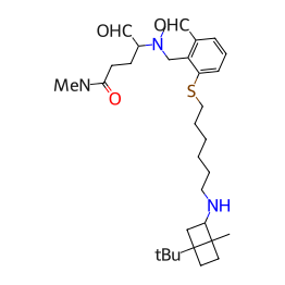 CNC(=O)CCC(C=O)N(C)Cc1c(C=O)cccc1SCCCCCCNC1CC2(C(C)(C)C)CCC12C